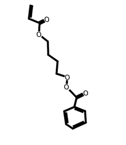 C=CC(=O)OCCCCOOC(=O)c1ccccc1